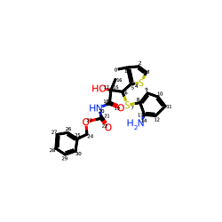 Cc1ccsc1C(Sc1ccccc1N)C(C)(O)C(=O)NC(=O)OCc1ccccc1